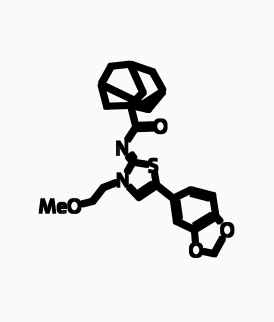 COCCn1cc(-c2ccc3c(c2)OCO3)s/c1=N\C(=O)C12CC3CC(CC(C3)C1)C2